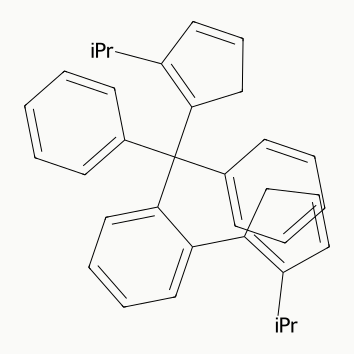 CC(C)C1=C(c2ccccc2C(C2=C(C(C)C)C=CC2)(c2ccccc2)c2ccccc2)CC=C1